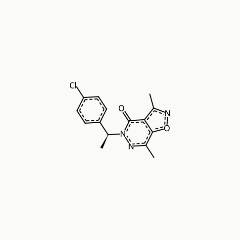 Cc1nn([C@@H](C)c2ccc(Cl)cc2)c(=O)c2c(C)noc12